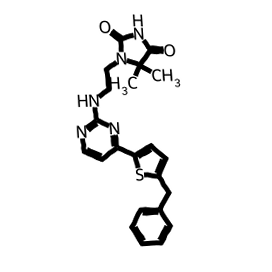 CC1(C)C(=O)NC(=O)N1CCNc1nccc(-c2ccc(Cc3ccccc3)s2)n1